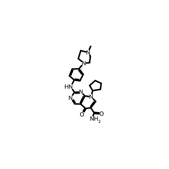 CN1CCN(c2ccc(Nc3ncc4c(=O)c(C(N)=O)cn(C5CCCC5)c4n3)cc2)CC1